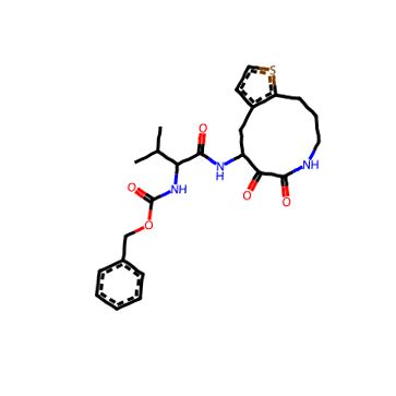 CC(C)C(NC(=O)OCc1ccccc1)C(=O)NC1Cc2ccsc2CCCNC(=O)C1=O